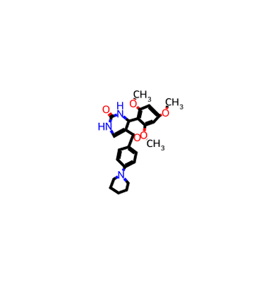 COc1cc(OC)c(C2NC(=O)NC=C2C(=O)c2ccc(N3CCCCC3)cc2)c(OC)c1